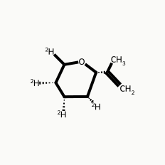 [2H]C1O[C@H](C(=C)C)[C@H]([2H])[C@H]([2H])[C@@H]1[2H]